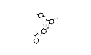 COc1ccc(NC(=O)c2ccc(NC(=O)C(C)N3CCCCC3)cc2)c(C(=O)Nc2ccc(Cl)cn2)c1